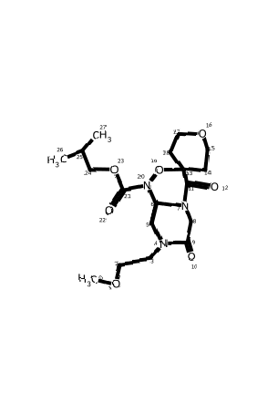 COCCN1CC2N(CC1=O)C(=O)C1(CCOCC1)ON2C(=O)OCC(C)C